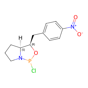 O=[N+]([O-])c1ccc(C[C@H]2OP(Cl)N3CCC[C@@H]23)cc1